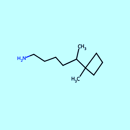 CC(CCCCN)C1(C)CCC1